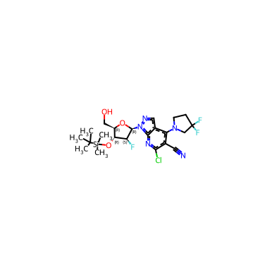 CC(C)(C)[Si](C)(C)O[C@H]1[C@H](F)[C@H](n2ncc3c(N4CCC(F)(F)C4)c(C#N)c(Cl)nc32)O[C@@H]1CO